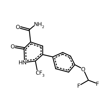 NC(=O)c1cc(-c2ccc(OC(F)F)cc2)c(C(F)(F)F)[nH]c1=O